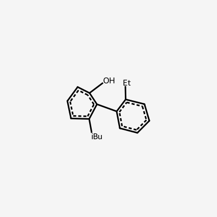 CCc1ccccc1-c1c(O)cccc1C(C)CC